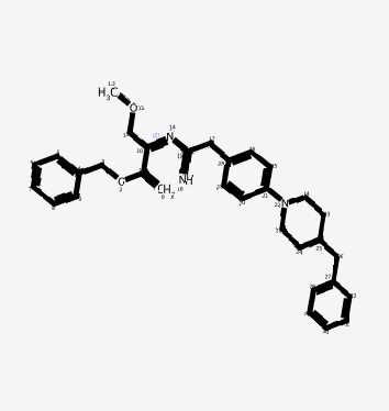 C=C(OCc1ccccc1)/C(COC)=N\C(=N)Cc1ccc(N2CCC(Cc3ccccc3)CC2)cc1